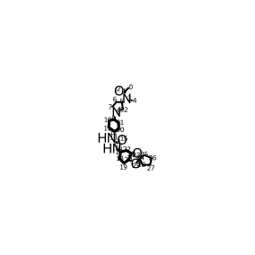 CC(=O)N(C)C1CCN(c2ccc(NC(=O)Nc3ccc4c(c3)OC3(CCCC3)O4)cc2)C1